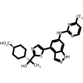 CC(O)(c1ncc(-c2cc(Nc3nccc(C(F)(F)F)n3)cc3[nH]ncc23)s1)[C@H]1CC[C@H](C(=O)O)CC1